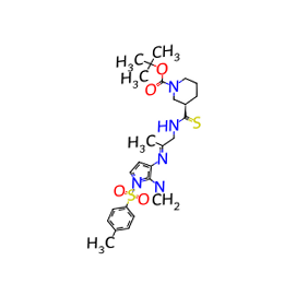 C=Nc1c(/N=C(\C)CNC(=S)[C@@H]2CCCN(C(=O)OC(C)(C)C)C2)ccn1S(=O)(=O)c1ccc(C)cc1